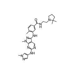 Cc1ccc(C(=O)NCCN2CCCC2(C)C)cc1Nc1nn(C)c2nc(Nc3cnn(C)c3)ncc12